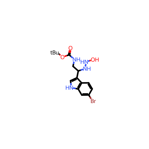 CC(C)(C)OC(=O)NCC(NNO)c1c[nH]c2cc(Br)ccc12